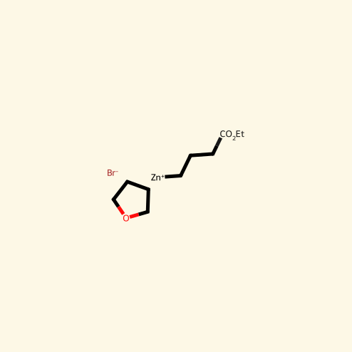 C1CCOC1.CCOC(=O)CC[CH2][Zn+].[Br-]